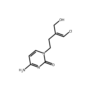 Nc1ccn(CCC(=CCl)CO)c(=O)n1